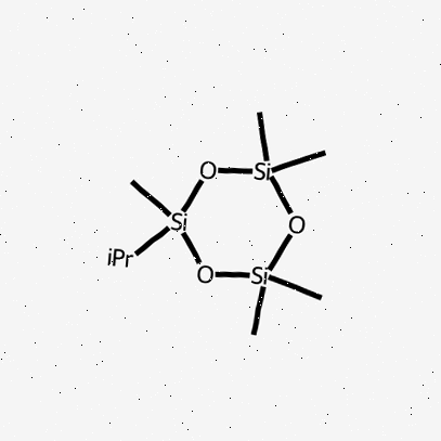 CC(C)[Si]1(C)O[Si](C)(C)O[Si](C)(C)O1